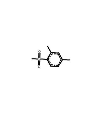 Cc1cc(I)ccc1S(C)(=O)=O